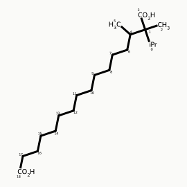 CC(C)C(C)(C(=O)O)C(C)CCCCCCCCCCCCC(=O)O